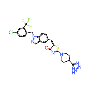 O=C1N=C(N2CCC(c3nnn[nH]3)CC2)SC1=Cc1ccc2c(cnn2Cc2ccc(Cl)cc2C(F)(F)F)c1